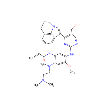 C=CC(=O)Nc1cc(Nc2ncc(CO)c(-c3cn4c5c(cccc35)CCC4)n2)c(OC)cc1N(C)CCN(C)C